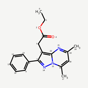 CCOC(=O)Cc1c(-c2ccccc2)nn2c(C)cc(C)nc12